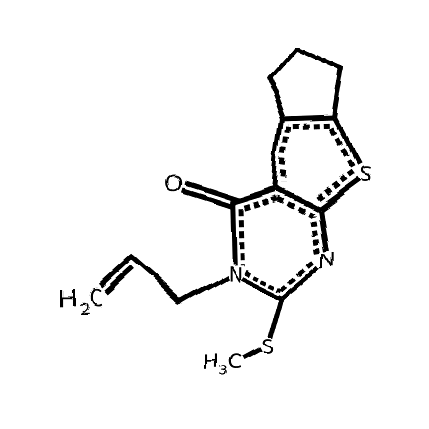 C=CCn1c(SC)nc2sc3c(c2c1=O)CCC3